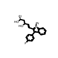 CC[C@H](O)CC(O)/C=C/c1c(-c2ccc(F)cc2)c2ccccc2n1C(C)C